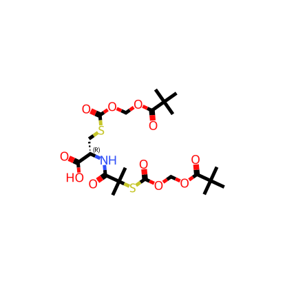 CC(C)(C)C(=O)OCOC(=O)SC[C@H](NC(=O)C(C)(C)SC(=O)OCOC(=O)C(C)(C)C)C(=O)O